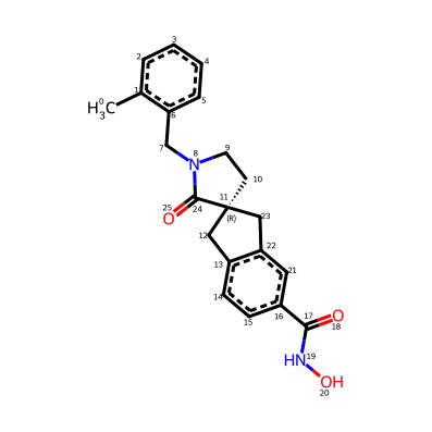 Cc1ccccc1CN1CC[C@]2(Cc3ccc(C(=O)NO)cc3C2)C1=O